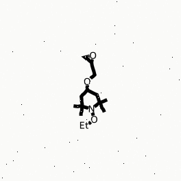 CCON1C(C)(C)CC(OCC2CO2)CC1(C)C